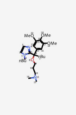 CCCCn1ccnc1C(CCCC)(OCCCN(C)C)c1cc(OC)c(OC)c(OC)c1